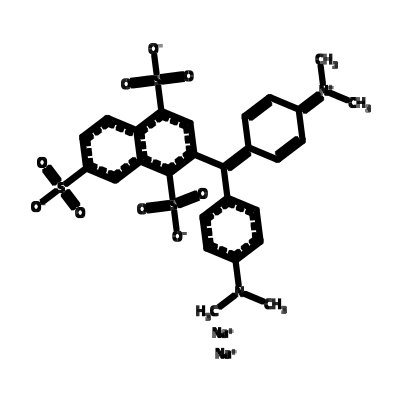 CN(C)c1ccc(C(=C2C=CC(=[N+](C)C)C=C2)c2cc(S(=O)(=O)[O-])c3ccc(S(=O)(=O)[O-])cc3c2S(=O)(=O)[O-])cc1.[Na+].[Na+]